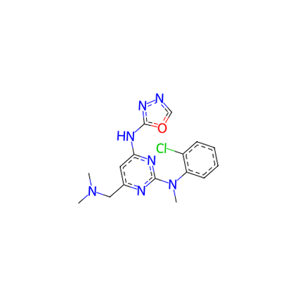 CN(C)Cc1cc(Nc2nnco2)nc(N(C)c2ccccc2Cl)n1